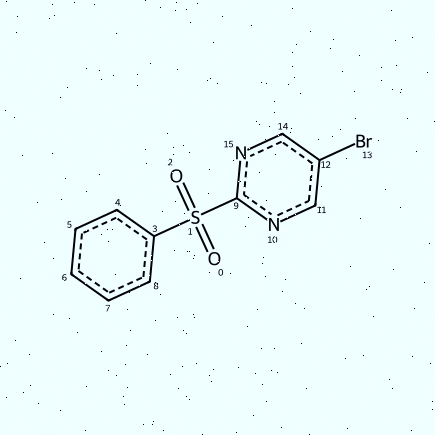 O=S(=O)(c1ccccc1)c1ncc(Br)cn1